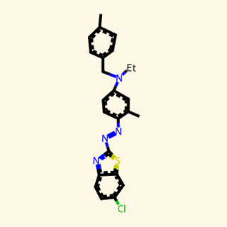 CCN(Cc1ccc(C)cc1)c1ccc(N=Nc2nc3ccc(Cl)cc3s2)c(C)c1